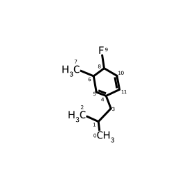 CC(C)CC1=CC(C)C(F)C=C1